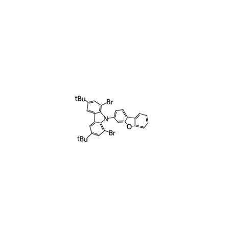 CC(C)(C)c1cc(Br)c2c(c1)c1cc(C(C)(C)C)cc(Br)c1n2-c1ccc2c(c1)oc1ccccc12